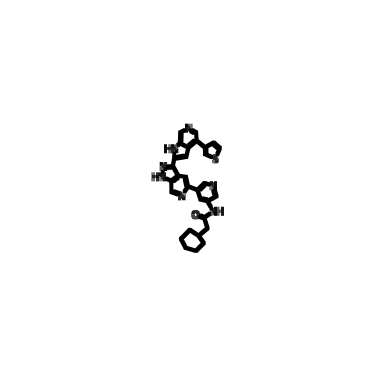 O=C(CC1CCCCC1)Nc1cncc(-c2cc3c(-c4cc5c(-c6ccsc6)cncc5[nH]4)n[nH]c3cn2)c1